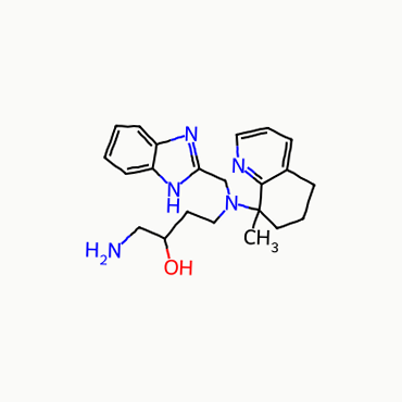 CC1(N(CCC(O)CN)Cc2nc3ccccc3[nH]2)CCCc2cccnc21